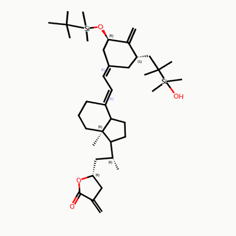 C=C1C[C@@H](C[C@@H](C)C2CCC3/C(=C/C=C4\C[C@@H](CC(C)(C)[Si](C)(C)O)C(=C)[C@H](O[Si](C)(C)C(C)(C)C)C4)CCC[C@@]32C)OC1=O